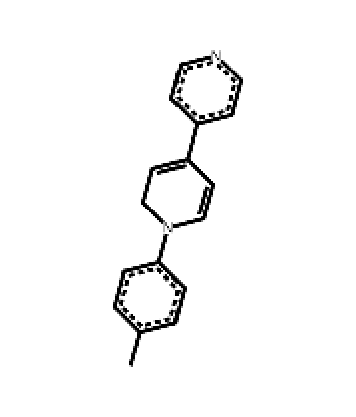 Cc1ccc(N2C=CC(c3ccncc3)=CC2)cc1